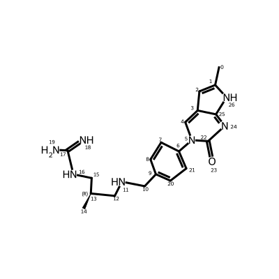 Cc1cc2cn(-c3ccc(CNC[C@@H](C)CNC(=N)N)cc3)c(=O)nc2[nH]1